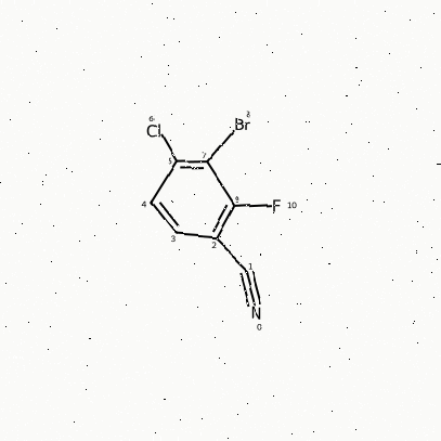 N#Cc1ccc(Cl)c(Br)c1F